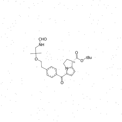 CC(C)(C)OC(=O)[C@H]1CCn2c(C(=O)c3ccc(CCOC(C)(C)CNC=O)cc3)ccc21